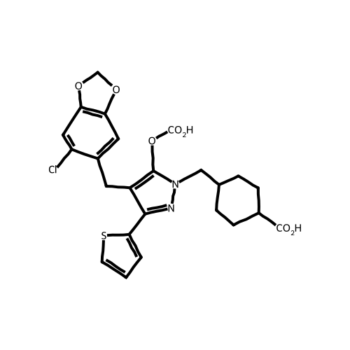 O=C(O)Oc1c(Cc2cc3c(cc2Cl)OCO3)c(-c2cccs2)nn1CC1CCC(C(=O)O)CC1